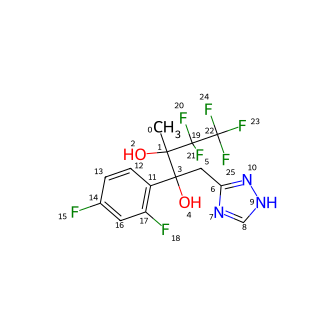 CC(O)(C(O)(Cc1nc[nH]n1)c1ccc(F)cc1F)C(F)(F)C(F)(F)F